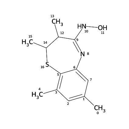 Cc1cc(C)c2c(c1)N=C(NO)C(C)C(C)S2